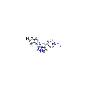 Cc1ccc(Nc2ncnn3ccc(CN4CCC(N)CC4)c23)cc1C(F)(F)F